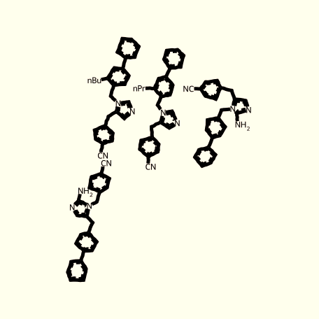 CCCCc1cc(-c2ccccc2)ccc1Cn1cncc1Cc1ccc(C#N)cc1.CCCc1cc(-c2ccccc2)ccc1Cn1cncc1Cc1ccc(C#N)cc1.N#Cc1ccc(Cc2cnc(N)n2Cc2ccc(-c3ccccc3)cc2)cc1.N#Cc1ccc(Cn2c(Cc3ccc(-c4ccccc4)cc3)cnc2N)cc1